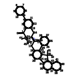 C=C1c2cc(-c3ccccc3)ccc2C/C(=C2/Cc3ccc4c(c3-c3cccc[n+]32)C(C)(C)c2c-4ccc3ccccc23)[N+]1(C)C(C)C